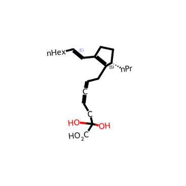 CCCCCC/C=C/C1=C(CC=C=CCC(O)(O)C(=O)O)[C@@H](CCC)CC1